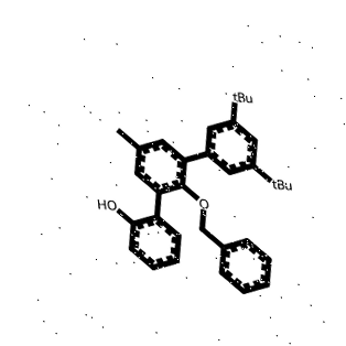 Cc1cc(-c2cc(C(C)(C)C)cc(C(C)(C)C)c2)c(OCc2ccccc2)c(-c2ccccc2O)c1